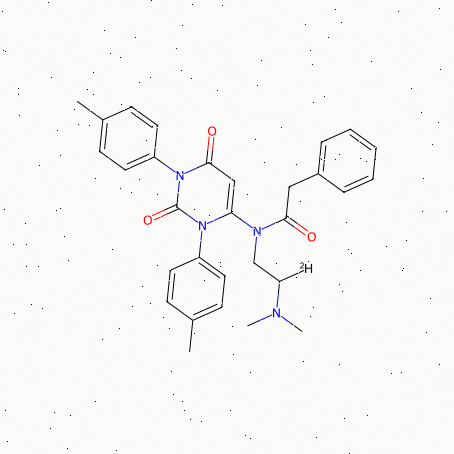 [2H]C(CN(C(=O)Cc1ccccc1)c1cc(=O)n(-c2ccc(C)cc2)c(=O)n1-c1ccc(C)cc1)N(C)C